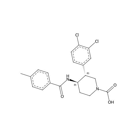 Cc1ccc(C(=O)N[C@@H]2CCN(C(=O)O)C[C@H]2c2ccc(Cl)c(Cl)c2)cc1